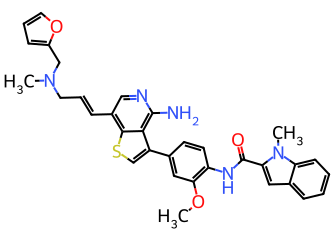 COc1cc(-c2csc3c(C=CCN(C)Cc4ccco4)cnc(N)c23)ccc1NC(=O)c1cc2ccccc2n1C